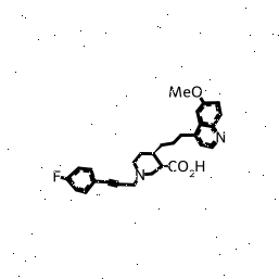 COc1ccc2nccc(CCC[C@@H]3CCN(CC#Cc4ccc(F)cc4)C[C@@H]3C(=O)O)c2c1